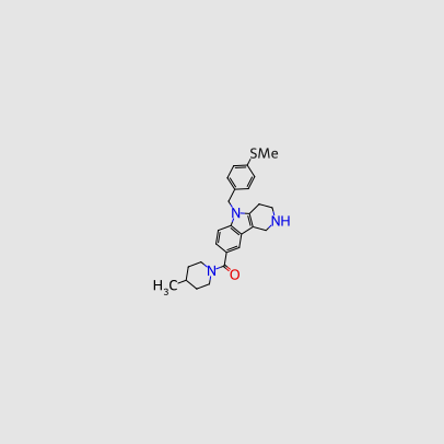 CSc1ccc(Cn2c3c(c4cc(C(=O)N5CCC(C)CC5)ccc42)CNCC3)cc1